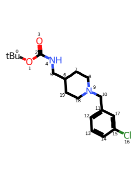 CC(C)(C)OC(=O)NCC1CCN(Cc2cccc(Cl)c2)CC1